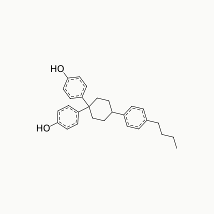 CCCCc1ccc(C2CCC(c3ccc(O)cc3)(c3ccc(O)cc3)CC2)cc1